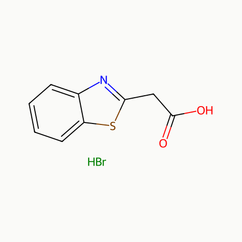 Br.O=C(O)Cc1nc2ccccc2s1